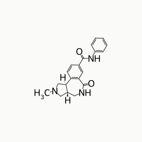 CN1C[C@H]2CNC(=O)c3cc(C(=O)Nc4ccccc4)ccc3[C@@H]2C1